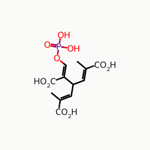 CC(=CC(C=C(C)C(=O)O)C(=COP(=O)(O)O)C(=O)O)C(=O)O